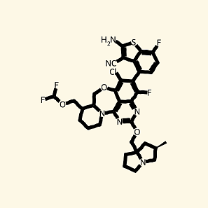 C[C@H]1CN2CCCC2(COc2nc3c4c(c(Cl)c(-c5ccc(F)c6sc(N)c(C#N)c56)c(F)c4n2)OCC2C(COC(F)F)CCCN32)C1